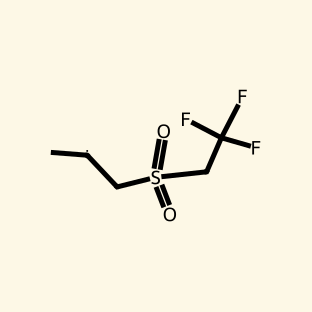 C[CH]CS(=O)(=O)CC(F)(F)F